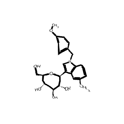 COc1ccc(Cn2cc([C@@H]3O[C@H](CO)[C@@H](O)[C@H](O)[C@H]3O)c3cc(C)ccc32)cc1